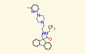 Cc1cccc(N2CCN(CCCCC3(C(=O)NCC(F)(F)F)c4ccccc4-c4ccccc43)CC2)n1